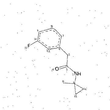 CC1(NC(=O)Cc2cccc(F)c2)CC1